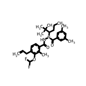 C=CCc1ccc(C(=O)NN(C(=O)c2cc(C)cc(C)c2)C(CCC)C(C)(C)C)c(C)c1OC(F)F